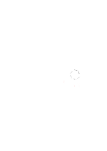 CCCCCCCCOc1ccccc1[O]